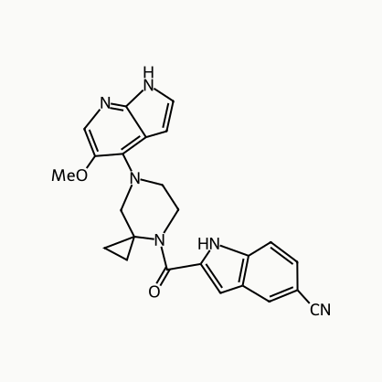 COc1cnc2[nH]ccc2c1N1CCN(C(=O)c2cc3cc(C#N)ccc3[nH]2)C2(CC2)C1